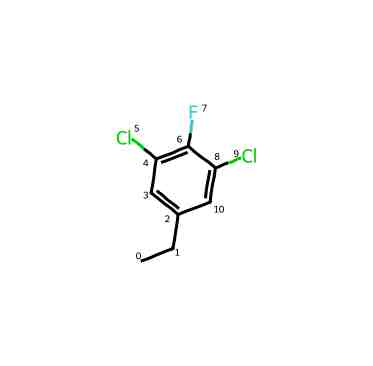 CCc1cc(Cl)c(F)c(Cl)c1